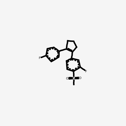 CS(=O)(=O)c1ccc(C2=C(c3ccc(F)cc3)CCC2)cc1F